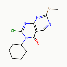 CSc1ncc2c(=O)n(C3CCCCC3)c(Cl)nc2n1